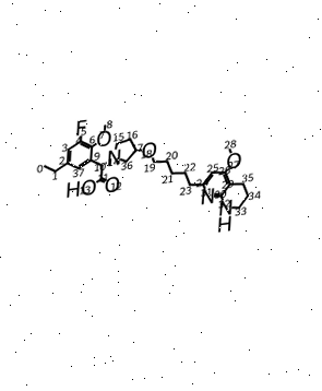 CCc1cc(F)c(OC)c([C@@H](C(=O)O)N2CC[C@@H](OCCCCCc3cc(OC)c4c(n3)NCCC4)C2)c1